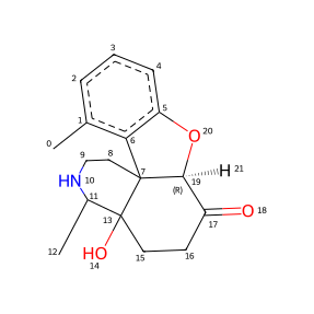 Cc1cccc2c1C13CCNC(C)C1(O)CCC(=O)[C@@H]3O2